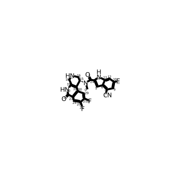 CN(C(=O)c1cc2c(C#N)cc(F)cc2[nH]1)[C@H]1CNCc2[nH]c(=O)c3cc(F)c(F)cc3c21